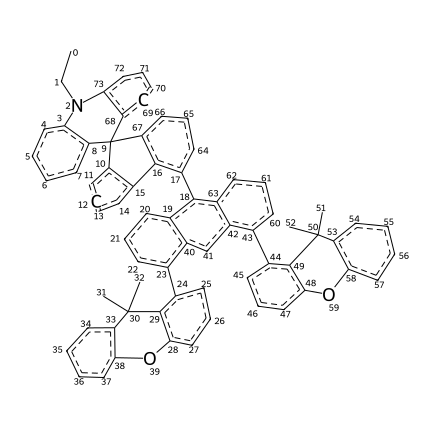 CCN1c2ccccc2C2(c3ccccc3-c3c(-c4c5cccc(-c6cccc7c6C(C)(C)c6ccccc6O7)c5cc5c(-c6cccc7c6C(C)(C)c6ccccc6O7)cccc45)cccc32)c2ccccc21